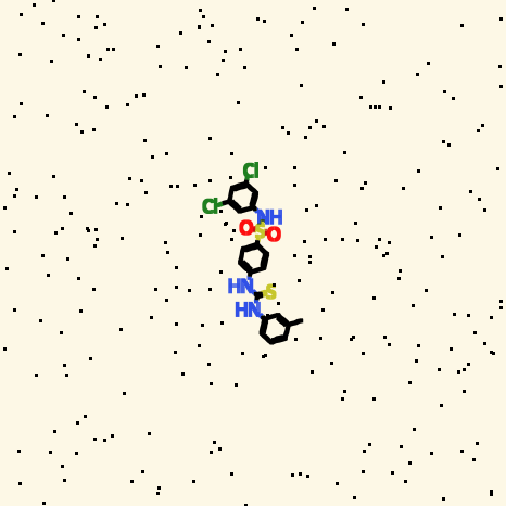 Cc1cccc(NC(=S)Nc2ccc(S(=O)(=O)Nc3cc(Cl)cc(Cl)c3)cc2)c1